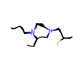 CCCN1CCN(CC(C)F)CC1CC